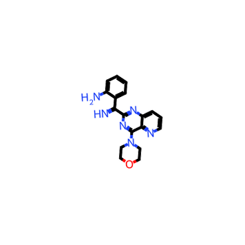 N=C(c1nc(N2CCOCC2)c2ncccc2n1)c1ccccc1N